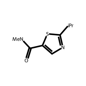 CNC(=O)c1cnc(C(C)C)s1